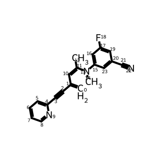 C=C(C#Cc1ccccn1)/C=C(/C)N(C)c1cc(F)cc(C#N)c1